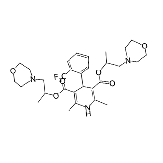 CC1=C(C(=O)OC(C)CN2CCOCC2)C(c2ccccc2C(F)(F)F)C(C(=O)OC(C)CN2CCOCC2)=C(C)N1